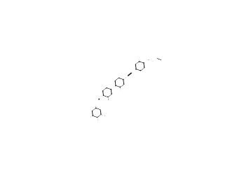 C=CCCc1ccc(C#Cc2ccc(-c3ccc(C(F)(F)Oc4cc(F)c(F)c(F)c4)c(F)c3)c(F)c2)cc1